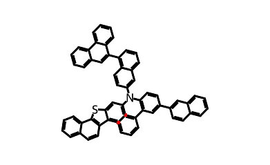 c1ccc(-c2cc(-c3ccc4ccccc4c3)ccc2N(c2ccc3c(-c4cc5ccccc5c5ccccc45)cccc3c2)c2ccc3c(c2)sc2c4ccccc4ccc32)cc1